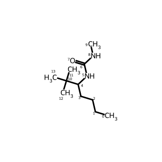 CCCCC(NC(=O)NC)C(C)(C)C